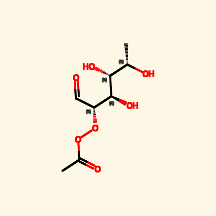 CC(=O)OO[C@H](C=O)[C@H](O)[C@H](O)[C@H](C)O